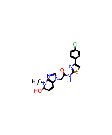 CN1c2ncn(CC(=O)Nc3nc(-c4ccc(Cl)cc4)cs3)c2C=CC1O